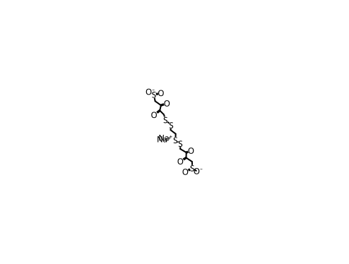 O=C(CSSCCSSCC(=O)C(=O)CS(=O)[O-])C(=O)CS(=O)[O-].[Na+].[Na+]